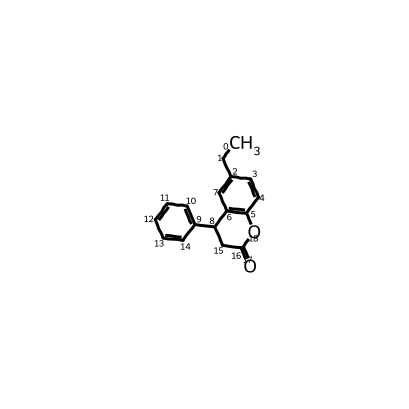 CCc1ccc2c(c1)C(c1ccccc1)CC(=O)O2